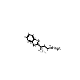 CCCCCCCCCC(C)C1=Nc2ccccc2[N]1